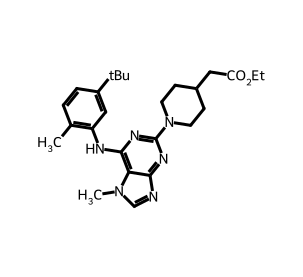 CCOC(=O)CC1CCN(c2nc(Nc3cc(C(C)(C)C)ccc3C)c3c(ncn3C)n2)CC1